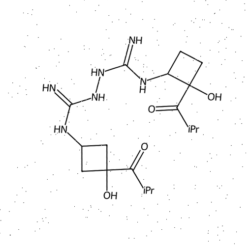 CC(C)C(=O)C1(O)CC(NC(=N)NNC(=N)NC2CCC2(O)C(=O)C(C)C)C1